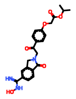 CC(C)OC(=O)COc1ccc(C(=O)CN2Cc3cc(C(=N)NO)ccc3C2=O)cc1